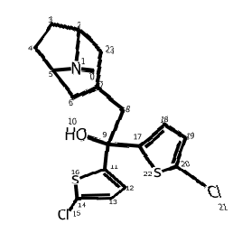 CN1C2CCC1CC(CC(O)(c1ccc(Cl)s1)c1ccc(Cl)s1)C2